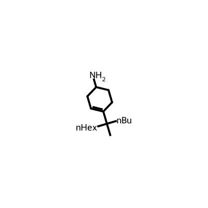 CCCCCCC(C)(CCCC)C1=CCC(N)CC1